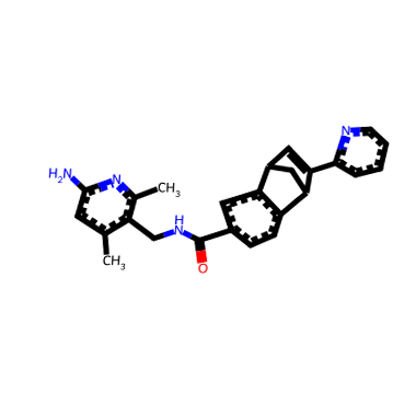 Cc1cc(N)nc(C)c1CNC(=O)c1ccc2c(c1)C1C=C(c3ccccn3)C2C1